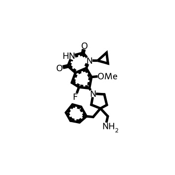 COc1c(N2CCC(CN)(Cc3ccccc3)C2)c(F)cc2c(=O)[nH]c(=O)n(C3CC3)c12